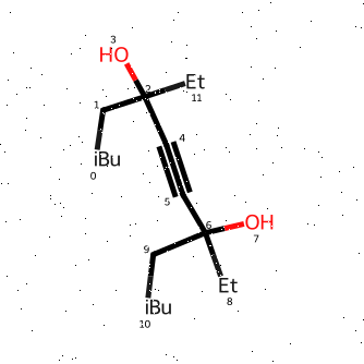 CCC(C)CC(O)(C#CC(O)(CC)CC(C)CC)CC